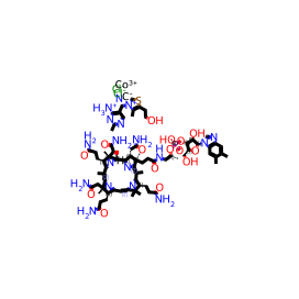 C/C1=C2/[N-][C@H]([C@H](CC(N)=O)[C@@]2(C)CCC(=O)NC[C@@H](C)O[P@@](=O)(O)O[C@@H]2[C@@H](O)[C@@H](n3cnc4cc(C)c(C)cc43)O[C@H]2CO)[C@]2(C)N=C(/C(C)=C3N=C(/C=C4N=C1[C@@H](CCC(N)=O)C\4(C)C)[C@@H](CCC(N)=O)[C@]\3(C)CC(N)=O)[C@@H](CCC(N)=O)[C@]2(C)CC(N)=O.Cc1ncc(C[n+]2csc(CCO)c2C)c([NH3+])n1.[C-]#N.[Cl-].[Cl-].[Co+3]